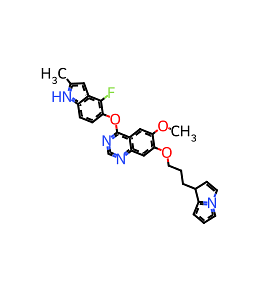 COc1cc2c(Oc3ccc4[nH]c(C)cc4c3F)ncnc2cc1OCCCC1C=Cn2cccc21